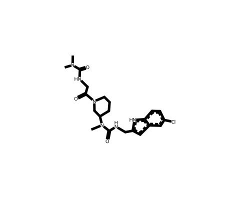 CN(C)C(=O)NCC(=O)N1CCCC(N(C)C(=O)NCc2cc3cc(Cl)ccc3[nH]2)C1